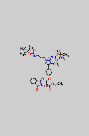 CCOC(=O)[C@H](COc1ccc(-c2cn(CCCNC(=O)OC(C)(C)C)/c(=N/C(=O)OC(C)(C)C)n2C)cc1)ON1C(=O)c2ccccc2C1=O